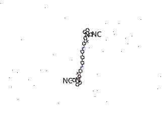 [C-]#[N+]c1ccc(N(c2ccc3c(c2)C(C)(C)c2cc(/C=C/c4ccc(-c5ccc(-c6ccc(/C=C/c7ccc8c(c7)C(C)(C)c7cc(N(c9ccc(C#N)cc9)c9cccc%10ccccc9%10)ccc7-8)cc6)cc5)cc4)ccc2-3)c2cccc3ccccc23)cc1